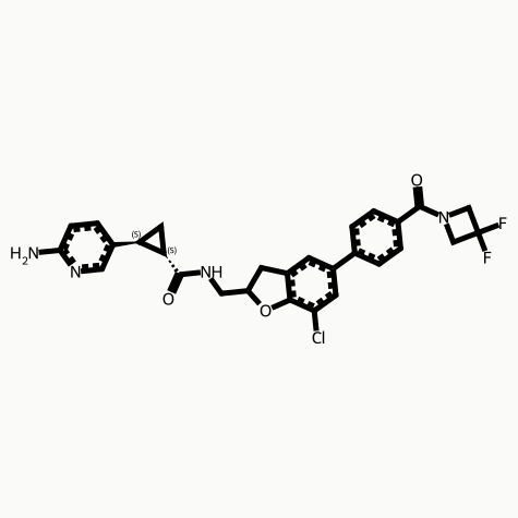 Nc1ccc([C@H]2C[C@@H]2C(=O)NCC2Cc3cc(-c4ccc(C(=O)N5CC(F)(F)C5)cc4)cc(Cl)c3O2)cn1